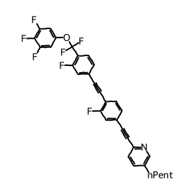 CCCCCc1ccc(C#Cc2ccc(C#Cc3ccc(C(F)(F)Oc4cc(F)c(F)c(F)c4)c(F)c3)c(F)c2)nc1